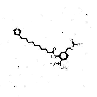 CCCC(=O)OCc1ccc(N(C)C)c(NC(=O)CCCCCCCCCc2ccsc2)c1